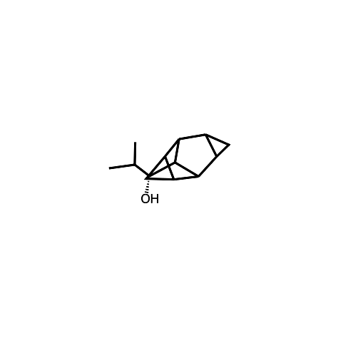 CC(C)[C@@H](O)C1C2C3CC3C1C1CC12